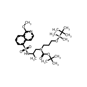 COc1nccc2c(S(=O)(=O)NC(C)CN(CCCO[Si](C)(C)C(C)(C)C)C(=O)OC(C)(C)C)cccc12